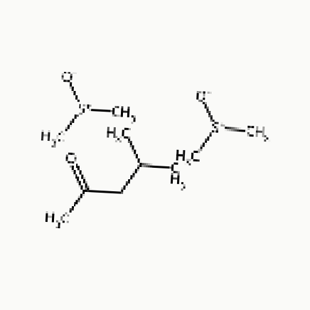 CC(=O)CC(C)C.C[S+](C)[O-].C[S+](C)[O-]